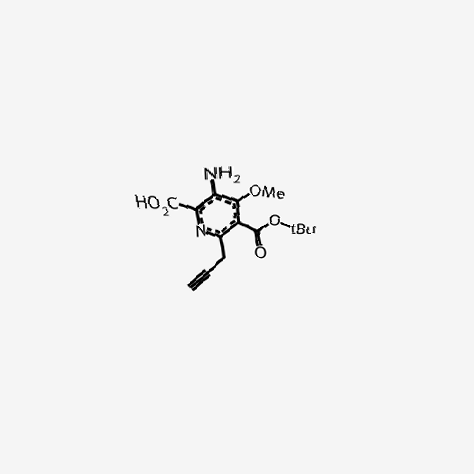 C#CCc1nc(C(=O)O)c(N)c(OC)c1C(=O)OC(C)(C)C